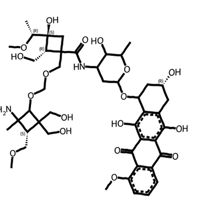 COC[C@@H]1C(C)(N)C(OCOCC2(C(=O)NC3CC(OC4C[C@H](O)Cc5c(O)c6c(c(O)c54)C(=O)c4c(OC)cccc4C6=O)OC(C)C3O)C[C@@](O)([C@@H](C)OC)[C@H]2CO)C1(CO)CO